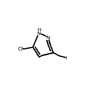 Clc1cc(I)n[nH]1